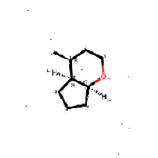 C[C@H]1CCO[C@H]2CCC[C@H]21